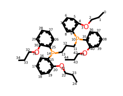 CCCOc1ccccc1P(CCCP(c1ccccc1OCCC)c1ccccc1OCCC)c1ccccc1OCCC